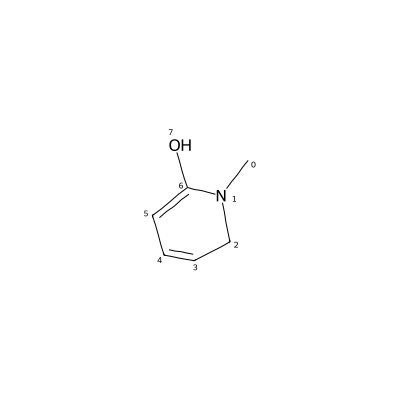 CN1CC=CC=C1O